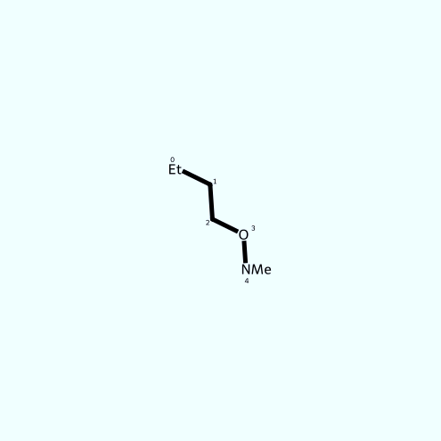 [CH2]CCCONC